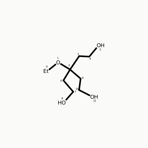 CCOC(CCO)(CCO)CCO